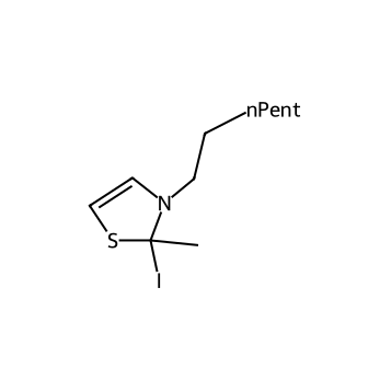 CCCCCCCN1C=CSC1(C)I